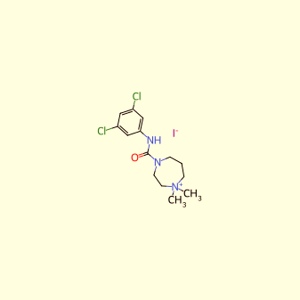 C[N+]1(C)CCCN(C(=O)Nc2cc(Cl)cc(Cl)c2)CC1.[I-]